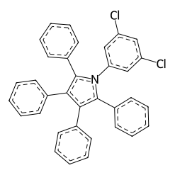 Clc1cc(Cl)cc(-n2c(-c3ccccc3)c(-c3ccccc3)c(-c3ccccc3)c2-c2ccccc2)c1